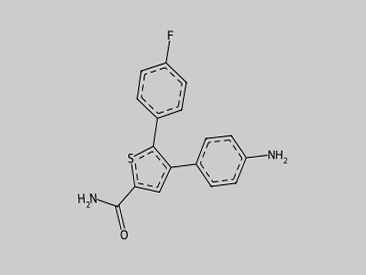 NC(=O)c1cc(-c2ccc(N)cc2)c(-c2ccc(F)cc2)s1